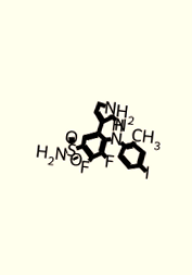 Cc1cc(I)ccc1Nc1c(C2=CCN=C2N)cc(S(N)(=O)=O)c(F)c1F